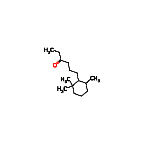 CCC(=O)CCCC1C(C)CCCC1(C)C